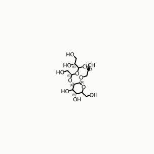 C#CCO[C@@H]1OC(CO)[C@H](O)C(O)[C@@H]1O[C@@H](CO)OC(C)[C@@H](O)CO